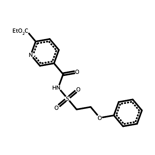 CCOC(=O)c1ccc(C(=O)NS(=O)(=O)CCOc2ccccc2)cn1